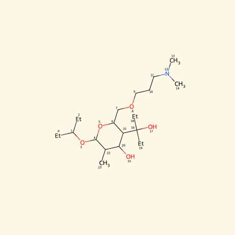 CCC(CC)OC1OC(COCCCN(C)C)C(C(O)(CC)CC)C(O)C1C